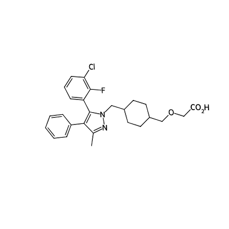 Cc1nn(CC2CCC(COCC(=O)O)CC2)c(-c2cccc(Cl)c2F)c1-c1ccccc1